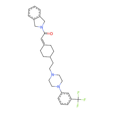 O=C(C=C1CCC(CCN2CCN(c3cccc(C(F)(F)F)c3)CC2)CC1)N1Cc2ccccc2C1